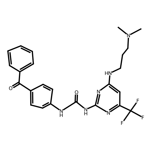 CN(C)CCCNc1cc(C(F)(F)F)nc(NC(=O)Nc2ccc(C(=O)c3ccccc3)cc2)n1